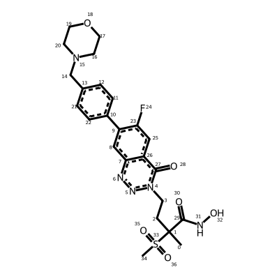 CC(CCn1nnc2cc(-c3ccc(CN4CCOCC4)cc3)c(F)cc2c1=O)(C(=O)NO)S(C)(=O)=O